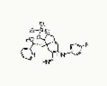 CC[Si](CC)(CC)O[C@@]1(CC(O)c2ccccn2)CCC2=CC(Nc3ccc(F)cc3)=C(C=N)C[C@@]21C